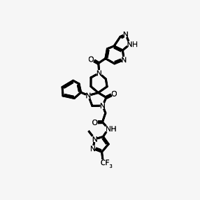 Cn1nc(C(F)(F)F)cc1NC(=O)CN1CN(c2ccccc2)C2(CCN(C(=O)c3cnc4[nH]ncc4c3)CC2)C1=O